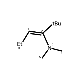 CC/C=C(\N(C)C)C(C)(C)C